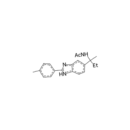 CCC(C)(NC(C)=O)c1ccc2[nH]c(-c3ccc(C)cc3)nc2c1